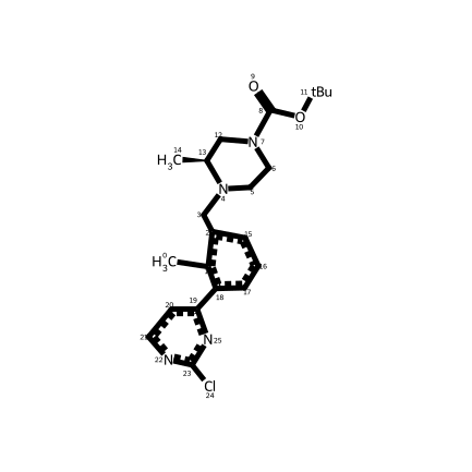 Cc1c(CN2CCN(C(=O)OC(C)(C)C)C[C@@H]2C)cccc1-c1ccnc(Cl)n1